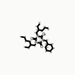 CCCCC(CC)Cn1c(=O)n(CC(CC)CCC)c(=O)n(CC2CCCCC2)c1=O